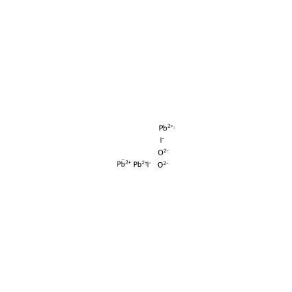 [I-].[I-].[O-2].[O-2].[Pb+2].[Pb+2].[Pb+2]